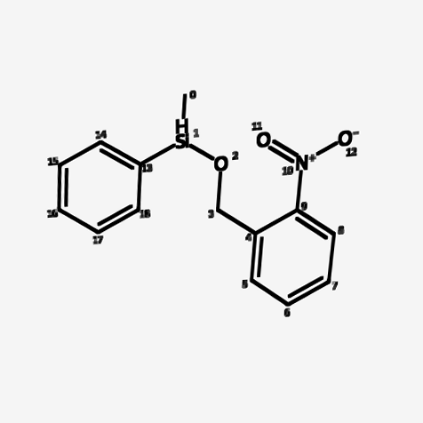 C[SiH](OCc1ccccc1[N+](=O)[O-])c1ccccc1